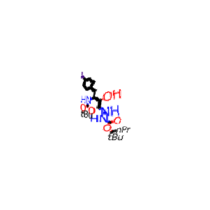 CCCC(OC(=O)NNC[C@H](O)[C@H](Cc1ccc(I)cc1)NC(=O)OC(C)(C)C)C(C)(C)C